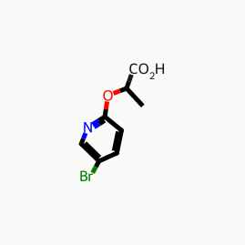 CC(Oc1ccc(Br)cn1)C(=O)O